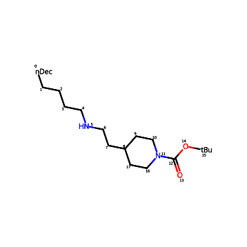 CCCCCCCCCCCCCCNCCC1CCN(C(=O)OC(C)(C)C)CC1